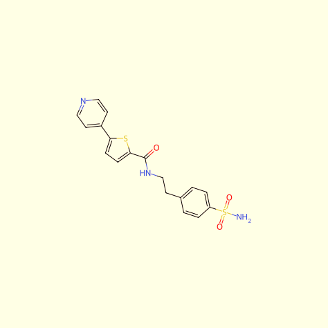 NS(=O)(=O)c1ccc(CCNC(=O)c2ccc(-c3ccncc3)s2)cc1